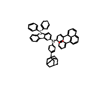 C1=CC(S2(c3ccccc3)c3ccccc3-c3cc(N(c4ccc(-c5cccc6cccc(-c7ccccc7)c56)cc4)c4ccc(C56CC7CC(CC(C7)C5)C6)cc4)ccc32)=CCC1